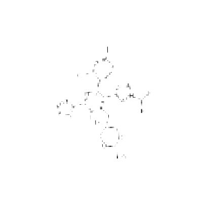 CCC[C@H]1OC[C@](F)(CC2=C(c3cnn(C(F)F)c3)[C@H](c3ccc(F)cc3Cl)N=C(c3nccs3)N2)CO1